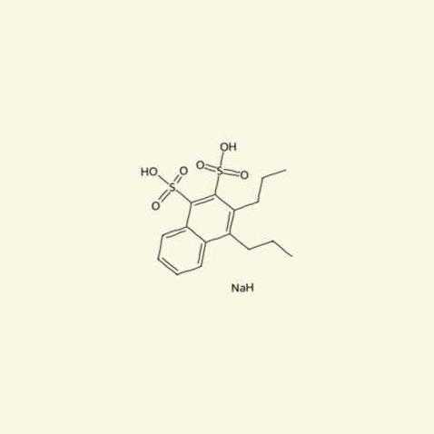 CCCc1c(S(=O)(=O)O)c(S(=O)(=O)O)c2ccccc2c1CCC.[NaH]